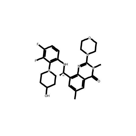 Cc1cc([C@@H](C)Nc2ccc(F)c(F)c2N2CCC(O)CC2)c2nc(N3CCOCC3)n(C)c(=O)c2c1